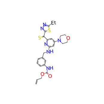 C=CCOC(=O)Nc1cccc(CNc2cc(N3CCOCC3)cc(C(=S)c3nnc(CC)s3)n2)c1